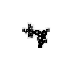 CC(C)(C)OC(=O)N1CCOC(Cc2c(-c3c(F)cc(Br)cc3Cl)nc3cc(Cl)ccn23)C1